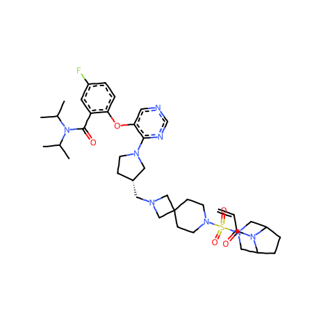 C=CC(=O)N1C2CCC1CN(S(=O)(=O)N1CCC3(CC1)CN(C[C@@H]1CCN(c4ncncc4Oc4ccc(F)cc4C(=O)N(C(C)C)C(C)C)C1)C3)C2